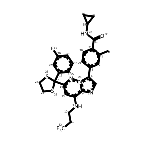 Cc1cc(-c2cnc3c(NCCC(F)(F)F)cc(C4(c5cccc(F)c5)SCCS4)nn23)ccc1C(=O)NC1CC1